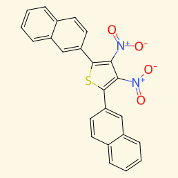 O=[N+]([O-])c1c(-c2ccc3ccccc3c2)sc(-c2ccc3ccccc3c2)c1[N+](=O)[O-]